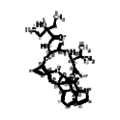 CCC(O)(CC)C(=O)N[C@H]1Cc2ccc3c(c2)C2(c4ccccc4NC2O3)c2oc(nc2-c2ncco2)[C@H](C(C)C)NC1=O